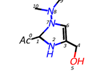 CC(=O)C1NC(CO)=CN1N(C)C